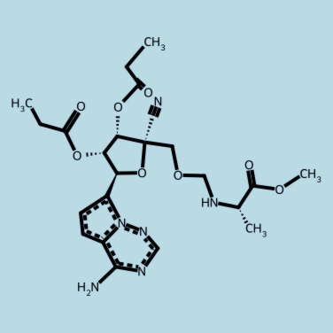 CCC(=O)O[C@H]1[C@H](c2ccc3c(N)ncnn23)O[C@](C#N)(COCN[C@@H](C)C(=O)OC)[C@H]1OC(=O)CC